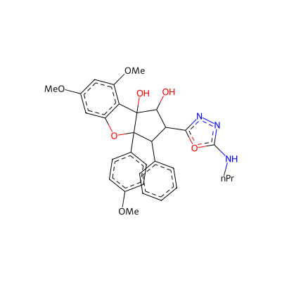 CCCNc1nnc(C2C(O)C3(O)c4c(OC)cc(OC)cc4OC3(c3ccc(OC)cc3)C2c2ccccc2)o1